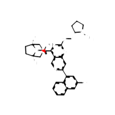 CN1CCC[C@H]1COc1nc(N2C[C@H]3CC[C@@H](C2)N3C(=O)O)c2cnc(-c3cc(O)cc4ccccc34)cc2n1